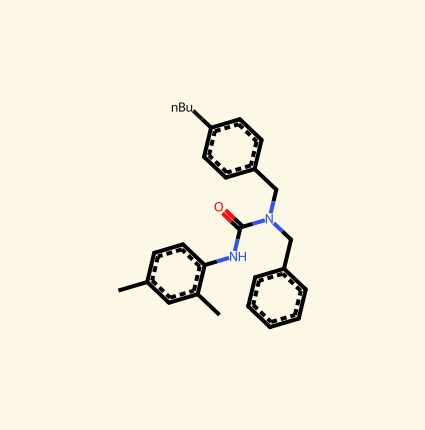 CCCCc1ccc(CN(Cc2ccccc2)C(=O)Nc2ccc(C)cc2C)cc1